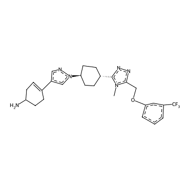 Cn1c(COc2cccc(C(F)(F)F)c2)nnc1[C@H]1CC[C@H](n2cc(C3=CCC(N)CC3)cn2)CC1